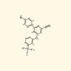 N#Cc1cc(Oc2cccc(C(F)(F)F)c2)nc(-c2ccc(Br)cc2)c1